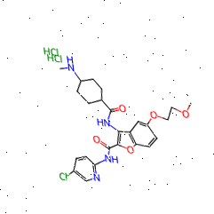 CNC1CCC(C(=O)Nc2c(C(=O)Nc3ccc(Cl)cn3)oc3ccc(OCCOC)cc23)CC1.Cl.Cl